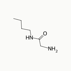 CCCCNC(=O)CN